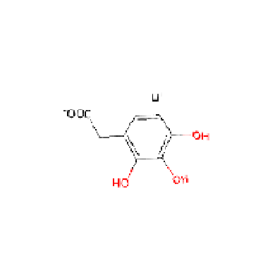 O=C([O-])Cc1ccc(O)c(O)c1O.[Li+]